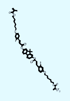 C=C(C)C(=O)OCCCCCCOc1ccc(C=CC(=O)Oc2ccc3c(c2)C(C)(C)c2cc(OC(=O)C=Cc4ccc(OCCCCCCOC(=O)C(=C)C(F)(F)F)cc4F)ccc2-3)c(F)c1